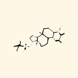 CN1C(=O)C(F)=C[C@]2(C)[C@H]3CC[C@]4(C)[C@@H](O[Si](C)(C)C(C)(C)C)CC[C@H]4[C@@H]3CC[C@@H]12